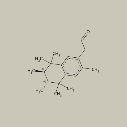 Cc1cc2c(cc1CC=O)C(C)(C)[C@H](C)[C@@H](C)C2(C)C